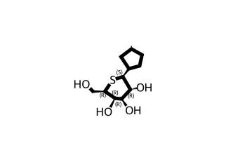 OC[C@H]1S[C@@H](C2C[CH]CC2)[C@H](O)[C@@H](O)[C@H]1O